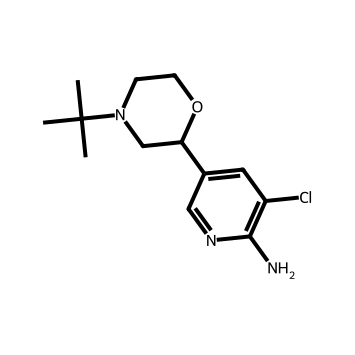 CC(C)(C)N1CCOC(c2cnc(N)c(Cl)c2)C1